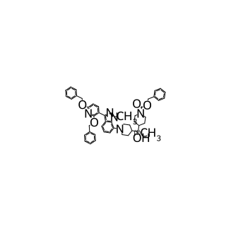 Cn1nc(-c2ccc(OCc3ccccc3)nc2OCc2ccccc2)c2cccc(N3CCC([C@](C)(O)C4CCN(C(=O)OCc5ccccc5)CC4)CC3)c21